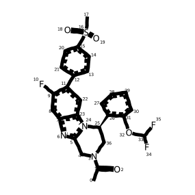 CC(=O)N1Cc2nc3cc(F)c(-c4ccc(S(C)(=O)=O)cc4)cc3n2[C@@H](c2ccccc2OC(F)F)C1